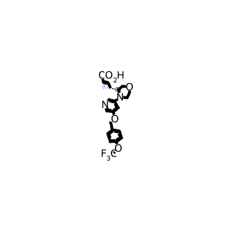 O=C(O)/C=C/C[C@@H]1COCCN1c1cncc(OCc2ccc(OC(F)(F)F)cc2)c1